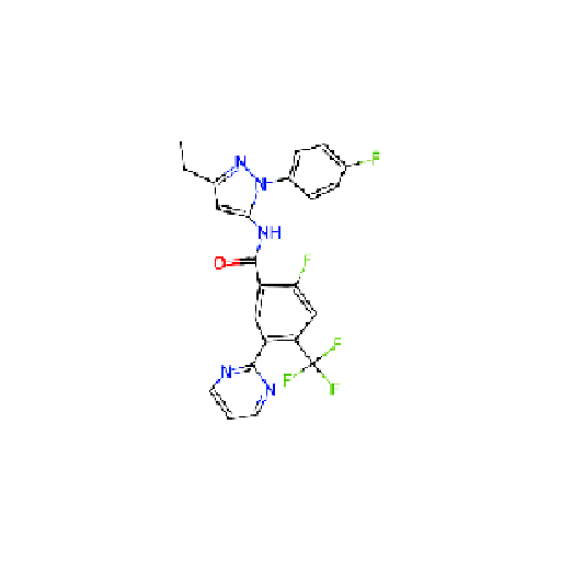 CCc1cc(NC(=O)c2cc(-c3ncccn3)c(C(F)(F)F)cc2F)n(-c2ccc(F)cc2)n1